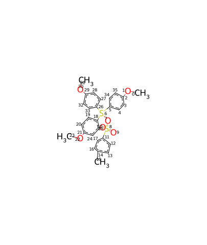 COc1ccc(S(OS(=O)(=O)c2ccc(C)cc2)(c2ccc(OC)cc2)c2ccc(OC)cc2)cc1